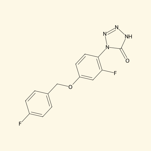 O=c1[nH]nnn1-c1ccc(OCc2ccc(F)cc2)cc1F